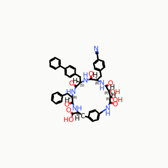 N#Cc1ccc(C[C@H]2NC(=O)[C@H](O)[C@@H](O)C(=O)Nc3ccc(cc3)C[C@@H](C(=O)O)NC(=O)[C@@H](Cc3ccccc3)NC(=O)[C@H](Cc3ccc(-c4ccccc4)cc3)NC2=O)cc1